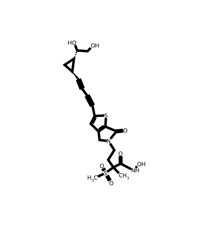 CC(CCN1Cc2cc(C#CC#C[C@H]3C[C@@H]3C(O)CO)sc2C1=O)(C(=O)NO)S(C)(=O)=O